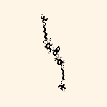 CCC1(COCCCCCCOc2ccc(C(=O)Oc3ccc(OC(=O)c4ccc(OCCCCCCOCC5(CC)COC5)c(F)c4F)c4c3C3CCC4C3)c(F)c2F)COC1